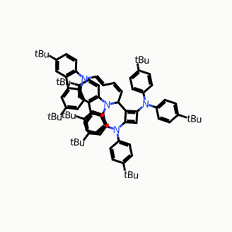 CC(C)(C)c1ccc(N(C2=CC(N(c3ccc(C(C)(C)C)cc3)c3ccc(C(C)(C)C)cc3)=C2C(/C=C\C=C\n2c3ccc(C(C)(C)C)cc3c3cc(C(C)(C)C)ccc32)n2c3ccc(C(C)(C)C)cc3c3cc(C(C)(C)C)ccc32)c2ccc(C(C)(C)C)cc2)cc1